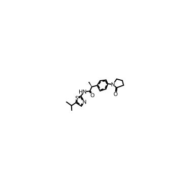 CC(C)c1cnc(NC(=O)[C@@H](C)c2ccc(N3CCCC3=O)cc2)s1